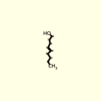 CCCCC=CCCCO